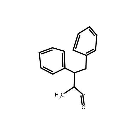 CC([C]=O)C(Cc1ccccc1)c1ccccc1